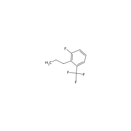 [CH2]CCc1c(F)cccc1C(F)(F)F